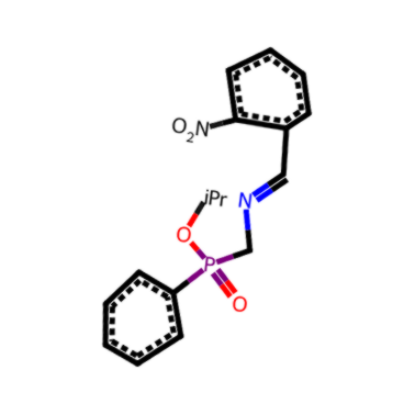 CC(C)OP(=O)(CN=Cc1ccccc1[N+](=O)[O-])c1ccccc1